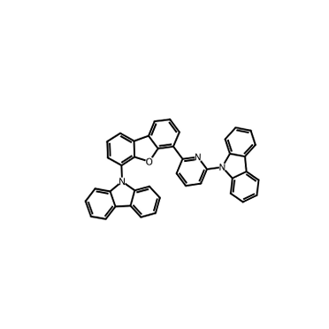 c1cc(-c2cccc3c2oc2c(-n4c5ccccc5c5ccccc54)cccc23)nc(-n2c3ccccc3c3ccccc32)c1